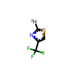 [2H]c1nc(C(F)(F)F)cs1